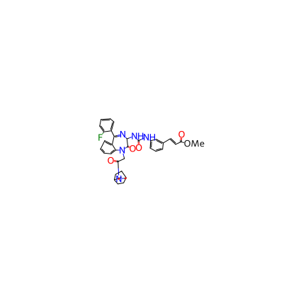 COC(=O)C=Cc1cccc(NC(=O)NC2N=C(c3ccccc3F)c3ccccc3N(CC(=O)N3CC4CCC(CC4)C3)C2=O)c1